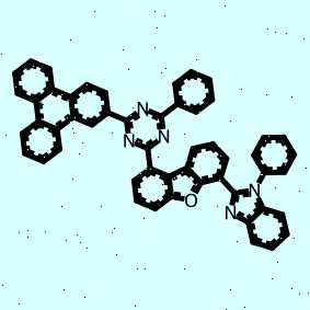 c1ccc(-c2nc(-c3ccc4c5ccccc5c5ccccc5c4c3)nc(-c3cccc4oc5c(-c6nc7ccccc7n6-c6ccccc6)cccc5c34)n2)cc1